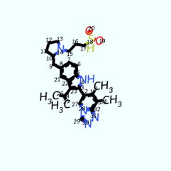 Cc1c(-c2[nH]c3ccc(CC4CCCN4CCC[SH](=O)=O)cc3c2C(C)C)cn2cnnc2c1C